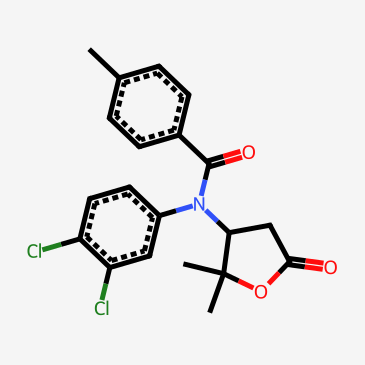 Cc1ccc(C(=O)N(c2ccc(Cl)c(Cl)c2)C2CC(=O)OC2(C)C)cc1